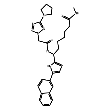 CNC(=O)CCCCCC(NC(=O)Cn1nnc(N2CCCC2)n1)c1ncc(-c2ccc3ccccc3c2)[nH]1